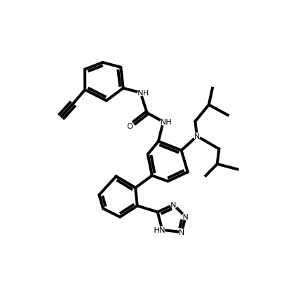 C#Cc1cccc(NC(=O)Nc2cc(-c3ccccc3-c3nnn[nH]3)ccc2N(CC(C)C)CC(C)C)c1